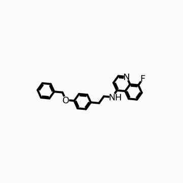 Fc1cccc2c(NCCc3ccc(OCc4ccccc4)cc3)ccnc12